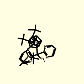 CC(C)(C)P(C[C]12[C]3(C(P)(c4ncccn4)c4ncccn4)[CH]4[C]5(C(C)(C)C)[C]1(C(C)(C)C)[Fe]42351678[CH]2[CH]1[CH]6[CH]7[CH]28)C(C)(C)C